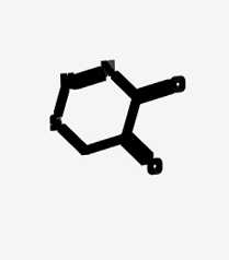 O=C1CSN=NC1=O